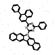 c1ccc(-c2nc(-c3ccc(-c4ccccc4)c4ccccc34)nc(-n3c4cc5ccccc5cc4c4cc5ccccc5cc43)n2)cc1